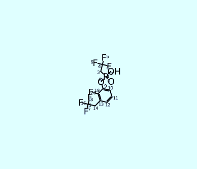 O=P(O)(CC(F)(F)F)Oc1cccc(CC(F)(F)F)c1F